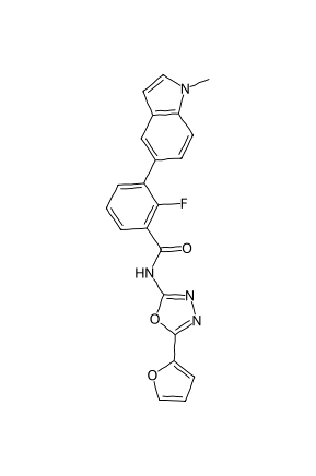 Cn1ccc2cc(-c3cccc(C(=O)Nc4nnc(-c5ccco5)o4)c3F)ccc21